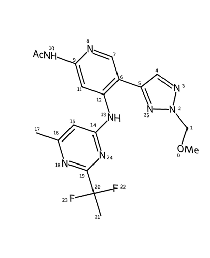 COCn1ncc(-c2cnc(NC(C)=O)cc2Nc2cc(C)nc(C(C)(F)F)n2)n1